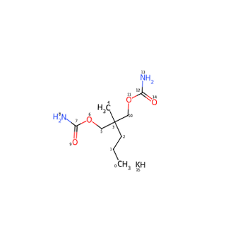 CCCC(C)(COC(N)=O)COC(N)=O.[KH]